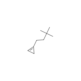 CC(C)(C)CCC1=CC1